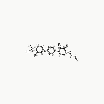 C=CCOc1ccc(-c2cnc(-c3ccc(C(C)O)c(F)c3)nc2)c(F)c1F